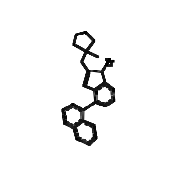 CC1(CC2=Cc3c(-c4cccc5ccccc45)cccc3[CH]2[Zr])CCCC1